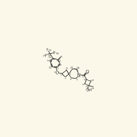 Cc1cc(OC2CC3(CCN(C(=O)C4CC(C)(O)C4)CC3)C2)ccc1C(F)(F)F